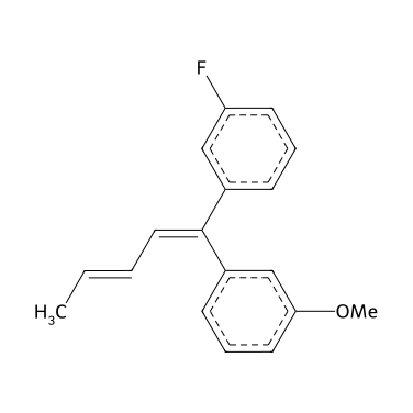 CC=CC=C(c1cccc(F)c1)c1cccc(OC)c1